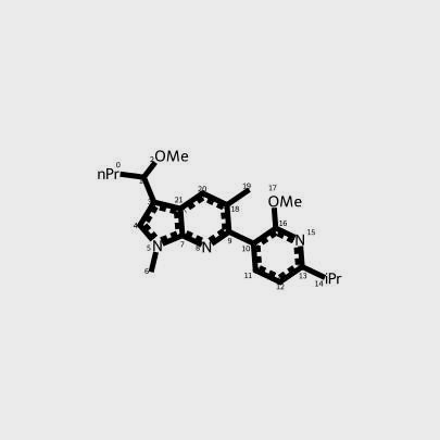 CCCC(OC)c1cn(C)c2nc(-c3ccc(C(C)C)nc3OC)c(C)cc12